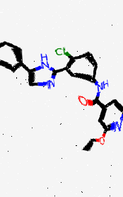 CCOc1cc(C(=O)Nc2ccc(Cl)c(-c3ncc(-c4ccccc4)[nH]3)c2)ccn1